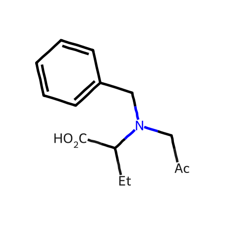 CCC(C(=O)O)N(CC(C)=O)Cc1ccccc1